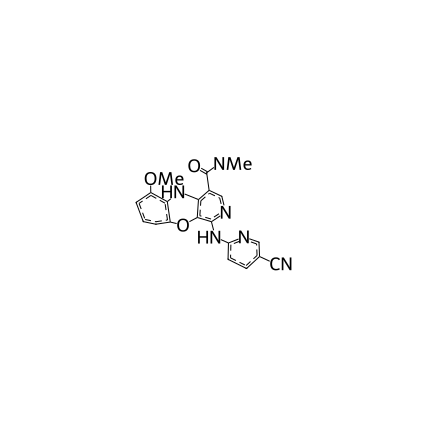 CNC(=O)c1cnc(Nc2ccc(C#N)cn2)c2c1Nc1c(OC)cccc1O2